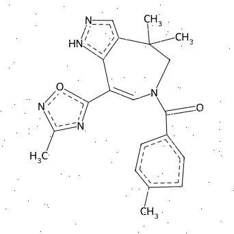 Cc1ccc(C(=O)N2C=C(c3nc(C)no3)c3[nH]ncc3C(C)(C)C2)cc1